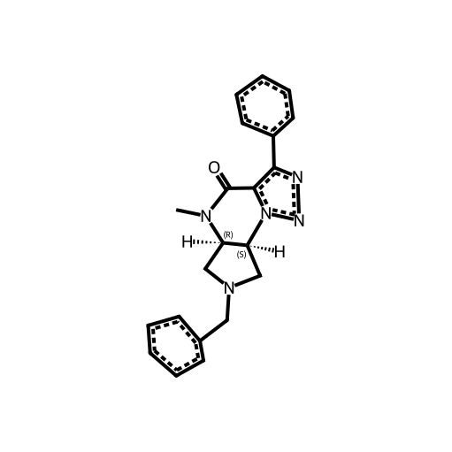 CN1C(=O)c2c(-c3ccccc3)nnn2[C@H]2CN(Cc3ccccc3)C[C@H]21